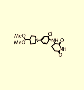 COC(OC)C1CCN(c2ccc(NC3CCC(=O)NC3=O)c(Cl)c2)CC1